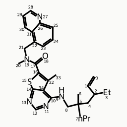 C=CC(CC)CC(C)(CCC)CNc1ncnc2sc(C(=O)N(C)Cc3cccc4ncccc34)c(C)c12